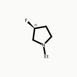 CCN1CC[C@H](F)C1